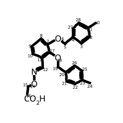 Cc1ccc(COc2cccc(/C=N/OCC(=O)O)c2OCc2ccc(C)cc2)cc1